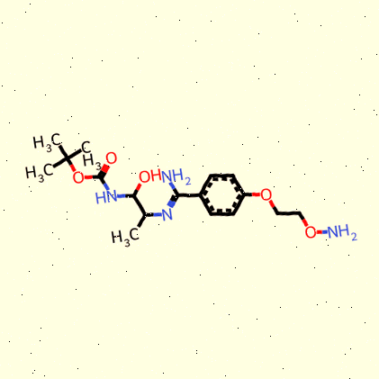 CC(N=C(N)c1ccc(OCCON)cc1)C(O)NC(=O)OC(C)(C)C